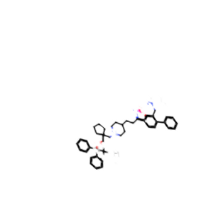 CN(C)Cc1c(-c2ccccc2)ccc2c(CCC3CCN(CC4(CO[Si](c5ccccc5)(c5ccccc5)C(C)(C)C)CCCC4)CC3)noc12